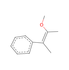 CO/C(C)=C(/C)c1ccccc1